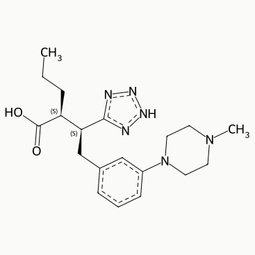 CCC[C@H](C(=O)O)[C@H](Cc1cccc(N2CCN(C)CC2)c1)c1nn[nH]n1